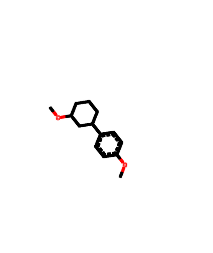 COc1ccc([C]2CCCC(OC)C2)cc1